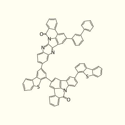 O=c1c2ccccc2c2cc(-c3cc(-c4ccc5nc6c(nc5c4)c4cc(-c5cccc(-c7ccccc7)c5)cc5c7ccccc7c(=O)n6c54)cc4c3sc3ccccc34)cc3c4cc(-c5cccc6c5sc5ccccc56)ccc4n1c23